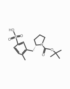 Cc1ccc(S(=O)(=O)O)cc1C[C@@H]1CCCN1C(=O)OC(C)(C)C